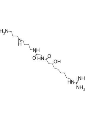 N=C(N)NCCCCCCC(O)CC(=O)NCC(=O)NCCCCNCCCN